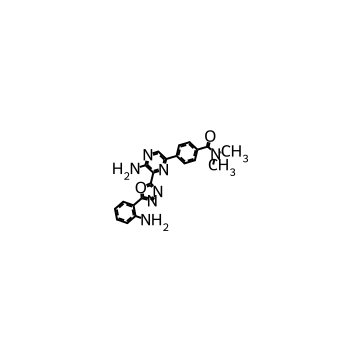 CN(C)C(=O)c1ccc(-c2cnc(N)c(-c3nnc(-c4ccccc4N)o3)n2)cc1